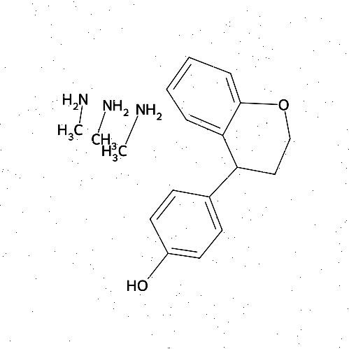 CN.CN.CN.Oc1ccc(C2CCOc3ccccc32)cc1